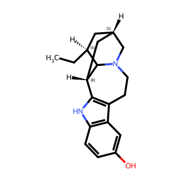 CC[C@H]1C[C@H]2C[C@H]3c4[nH]c5ccc(O)cc5c4CCN(C2)C13